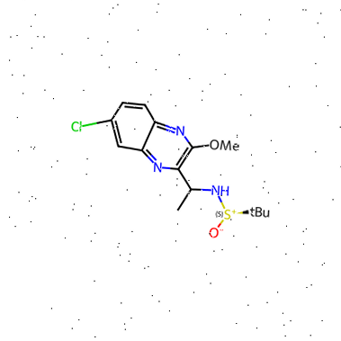 COc1nc2ccc(Cl)cc2nc1C(C)N[S@+]([O-])C(C)(C)C